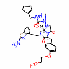 CN(C(=O)NCc1ccccc1)N1CC(=O)N2[C@@H](Cc3ccc(OCCO)cc3)C(=O)N(Cc3cccc4sc(N)nc34)C[C@@H]21